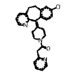 O=C(Cc1ccccn1)N1CCC(=C2c3ccc(Cl)cc3CCc3cccnc32)CC1